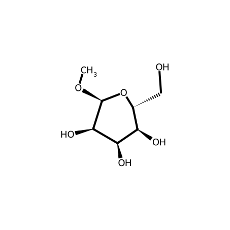 CO[C@H]1O[C@H](CO)[C@@H](O)[C@@H](O)[C@H]1O